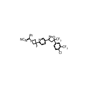 CC(C)C(=NC#N)N1CC(F)(c2ccc(C3=NOC(c4ccc(Cl)c(C(F)(F)F)c4)(C(F)(F)F)C3)cn2)C1